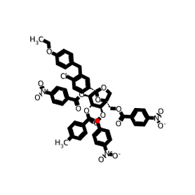 CCOc1ccc(Cc2cc([C@]34OC[C@](COC(=O)c5ccc([N+](=O)[O-])cc5)(O3)[C@@H](OC(=O)c3ccc([N+](=O)[O-])cc3)[C@H](OC(=O)c3ccc(C)cc3)[C@H]4OC(=O)c3ccc([N+](=O)[O-])cc3)ccc2Cl)cc1